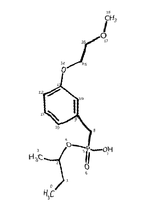 CCC(C)OP(=O)(O)Cc1cccc(OCCOC)c1